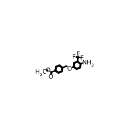 COC(=O)c1ccc(COc2ccc(N)c(C(F)(F)F)c2)cc1